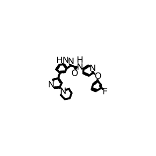 O=C(Nc1ccc(Oc2cc#cc(F)c2)nc1)c1n[nH]c2ccc(-c3cncc(N4CCCCC4)c3)cc12